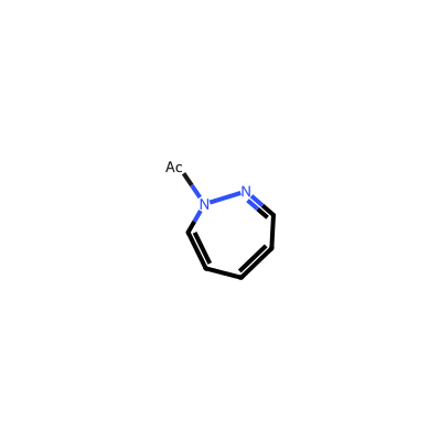 CC(=O)N1C=CC=CC=N1